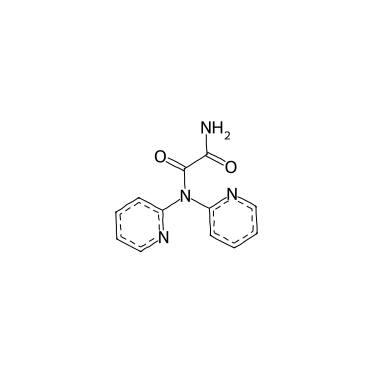 NC(=O)C(=O)N(c1ccccn1)c1ccccn1